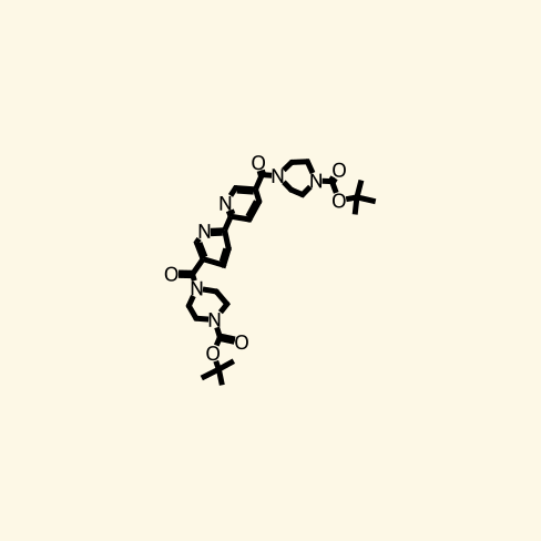 CC(C)(C)OC(=O)N1CCN(C(=O)c2ccc(-c3ccc(C(=O)N4CCN(C(=O)OC(C)(C)C)CC4)cn3)nc2)CC1